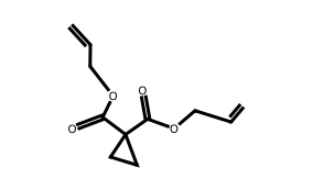 C=CCOC(=O)C1(C(=O)OCC=C)CC1